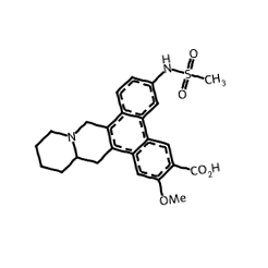 COc1cc2c3c(c4ccc(NS(C)(=O)=O)cc4c2cc1C(=O)O)CN1CCCCC1C3